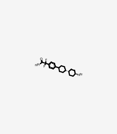 CCCC(=O)C(F)(F)c1ccc(C2CCC([C@H]3CC[C@H](CCC)CC3)CC2)cc1